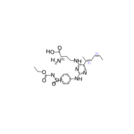 C/C=C\C=C(/C)c1cnc(Nc2ccc([SH](=O)=NC(=O)OCC)cc2)nc1NCC[C@H](N)C(=O)O